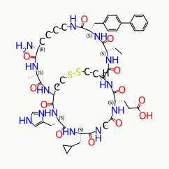 CC[C@@H]1NC(=O)[C@H]2CCSSCCC(NC(=O)[C@H](C)NC(=O)[C@H](N)CCCCNC(=O)[C@H](Cc3ccc(-c4ccccc4)cc3)NC1=O)C(=O)N[C@@H](Cc1c[nH]cn1)C(=O)N[C@@H](CC1CC1)C(=O)NCC(=O)N[C@@H](CCC(=O)O)C(=O)N2